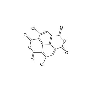 O=C1OC(=O)c2cc(Cl)c3c4c(c(Cl)cc1c24)C(=O)OC3=O